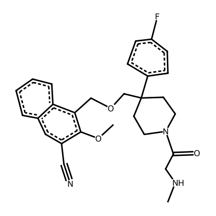 CNCC(=O)N1CCC(COCc2c(OC)c(C#N)cc3ccccc23)(c2ccc(F)cc2)CC1